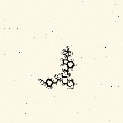 COc1ccc(CC(=O)N2CC3COCCN3c3nc(-c4cccc5c4ccn5[Si](C)(C)C(C)(C)C)ncc32)cc1